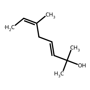 [CH2]C=C(C)CC=CC(C)(C)O